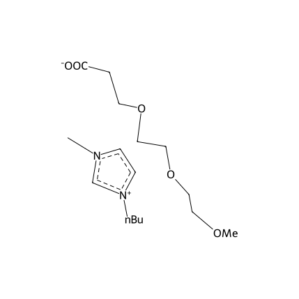 CCCC[n+]1ccn(C)c1.COCCOCCOCCC(=O)[O-]